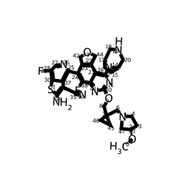 CO[C@@H]1CCN(CC2(COc3nc(N4C5CCC4CNC5)c4c5c(c(-c6ncc(F)c7sc(N)c(C#N)c67)c(F)c4n3)COC5)CC2)C1